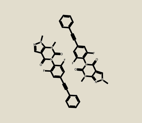 Cn1cc2c(=O)n(-c3c(F)cc(C#Cc4ccccc4)cc3F)c(=O)n(C)c2n1.Cn1ncc2c(=O)n(-c3c(F)cc(C#Cc4ccccc4)cc3F)c(=O)n(C)c21